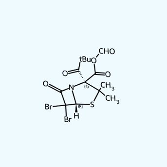 CC(C)(C)C(=O)[C@@]1(C(=O)OC=O)N2C(=O)C(Br)(Br)[C@H]2SC1(C)C